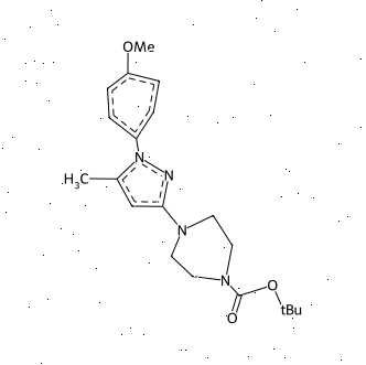 COc1ccc(-n2nc(N3CCN(C(=O)OC(C)(C)C)CC3)cc2C)cc1